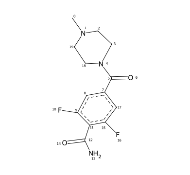 CN1CCN(C(=O)c2cc(F)c(C(N)=O)c(F)c2)CC1